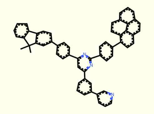 CC1(C)c2ccccc2-c2ccc(-c3ccc(-c4cc(-c5cccc(-c6cccnc6)c5)nc(-c5ccc(-c6ccc7ccc8cccc9ccc6c7c89)cc5)n4)cc3)cc21